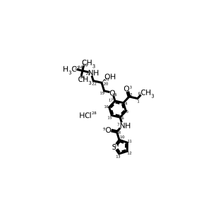 CCC(=O)c1cc(NC(=O)c2cccs2)ccc1OC[C@@H](O)CNC(C)(C)C.Cl